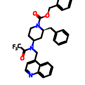 O=C(OCc1ccccc1)N1CC[C@H](N(Cc2ccnc3ccccc23)C(=O)C(F)(F)F)C[C@H]1Cc1ccccc1